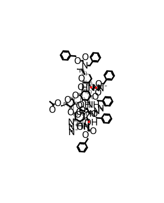 CC(=O)OC[C@H]1O[C@@H](O[C@@H]2[C@@H](O)[C@H](NC(=O)[C@H](CCNC(=O)OCc3ccccc3)OCc3ccccc3)[C@@H](OCc3ccccc3)[C@H](NC(=O)OCc3ccccc3)[C@H]2O[C@H]2O[C@H]([C@@H](C)N(Cc3ccccc3)C(=O)OCc3ccccc3)CC[C@H]2N=[N+]=[N-])[C@H](OC(C)=O)[C@@H]1O[C@H]1O[C@@H](CN=[N+]=[N-])[C@H](O)[C@H](O)[C@H]1N=[N+]=[N-]